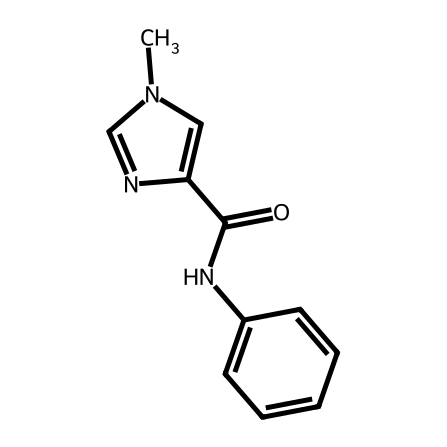 Cn1cnc(C(=O)Nc2ccccc2)c1